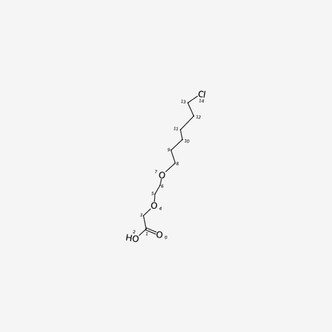 O=C(O)COCCOCCCCCCCl